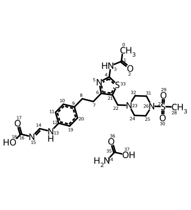 CC(=O)Nc1nc(CCc2ccc(NC=NC(=O)O)cc2)c(CN2CCN(S(C)(=O)=O)CC2)s1.NC(=O)O